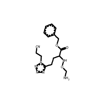 N#CCCn1nnnc1CCC(BOCN)C(=O)OCc1ccccc1